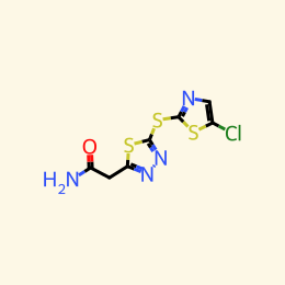 NC(=O)Cc1nnc(Sc2ncc(Cl)s2)s1